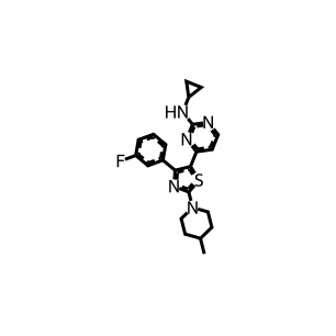 CC1CCN(c2nc(-c3cccc(F)c3)c(-c3ccnc(NC4CC4)n3)s2)CC1